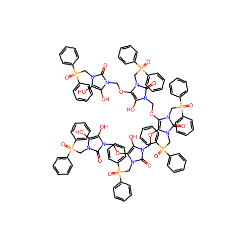 O=c1n(COc2c(O)n(COc3c(OCn4c(O)c(OCn5c(O)c(O)n(CP(=O)(c6ccccc6)c6ccccc6)c5=O)n(CP(=O)(c5ccccc5)c5ccccc5)c4=O)n(CP(=O)(c4ccccc4)c4ccccc4)c(=O)n3CP(=O)(c3ccccc3)c3ccccc3)c(=O)n2CP(=O)(c2ccccc2)c2ccccc2)c(O)c(O)n1CP(=O)(c1ccccc1)c1ccccc1